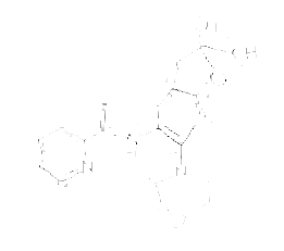 CC1(C)Cc2cc(NC(=O)c3ccccn3)c(N3CCOCC3)cc2O1